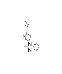 C=C1N(C)c2ccccc2N1c1ccc(CCC(C)(C)CC)nc1